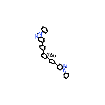 CC(C)(C)c1c(-c2ccc(-c3ccc4c(c3)ncn4-c3ccccc3)cc2)cccc1-c1ccc(-c2ccc3c(c2)ncn3-c2ccccc2)cc1